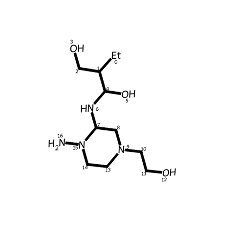 CCC(CO)C(O)NC1CN(CCO)CCN1N